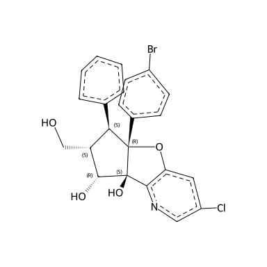 OC[C@H]1[C@@H](O)[C@@]2(O)c3ncc(Cl)cc3O[C@@]2(c2ccc(Br)cc2)[C@@H]1c1ccccc1